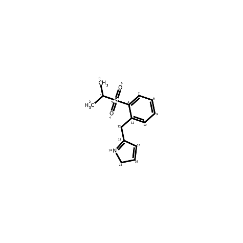 CC(C)S(=O)(=O)c1ccccc1CC1=NCC=C1